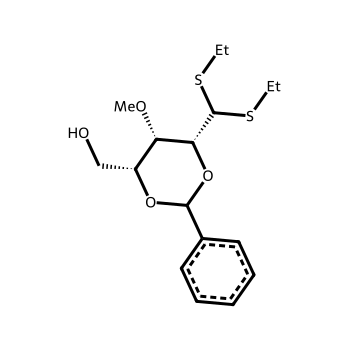 CCSC(SCC)[C@@H]1OC(c2ccccc2)O[C@H](CO)[C@@H]1OC